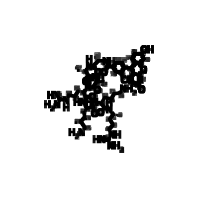 C[C@H](CCCNC(=N)N)NC(=O)[C@H](CCCCN)NC(=O)[C@H](CCCCN)NC(=O)[C@H](CCCNC(=N)N)NC(=O)[C@H](C)NC(=O)[C@H](C)NC(=O)[C@H](C)NC(=O)c1ccc(-c2c3ccc(=O)cc-3oc3cc(O)ccc23)c(C(=O)O)c1